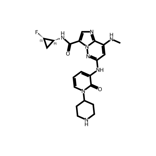 CNc1cc(Nc2cccn(C3CCNCC3)c2=O)nn2c(C(=O)N[C@@H]3C[C@@H]3F)cnc12